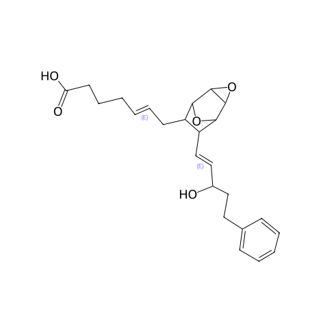 O=C(O)CCC/C=C/CC1C(/C=C/C(O)CCc2ccccc2)C2OC1C1OC21